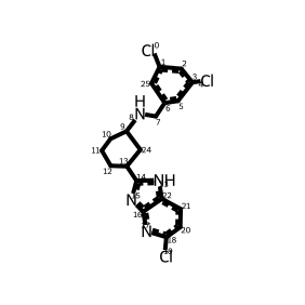 Clc1cc(Cl)cc(CNC2CCCC(c3nc4nc(Cl)ccc4[nH]3)C2)c1